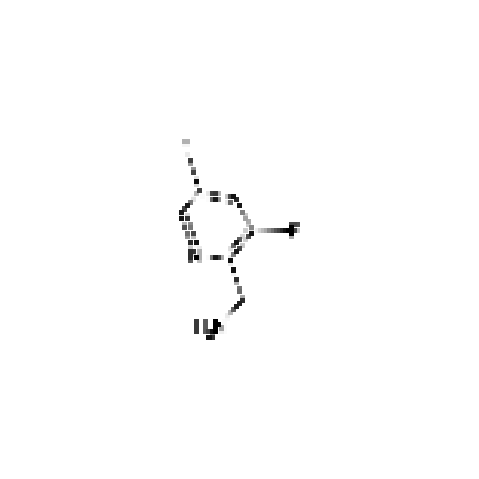 NCc1ncc(F)cc1F